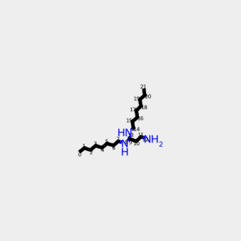 CCCCCCCCNC(CCN)NCCCCCCCC